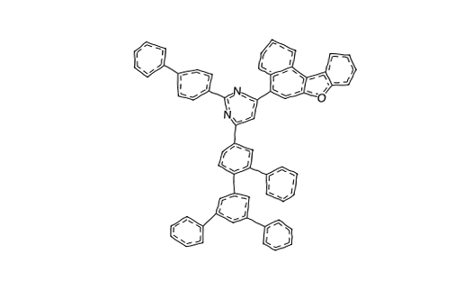 c1ccc(-c2ccc(-c3nc(-c4ccc(-c5cc(-c6ccccc6)cc(-c6ccccc6)c5)c(-c5ccccc5)c4)cc(-c4cc5oc6ccccc6c5c5ccccc45)n3)cc2)cc1